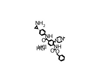 CN1CCN(c2cc(C(=O)Nc3ccc([C@@H]4C[C@H]4N)cc3)ccc2NC(=O)OCc2ccccc2)CC1.Cl.Cl